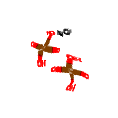 O=S(=O)(O)O.O=S(=O)(O)O.[Cu].[Ni]